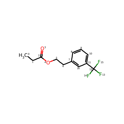 CCC(=O)OCCc1cccc(C(F)(F)F)c1